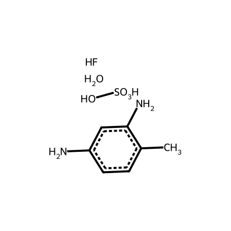 Cc1ccc(N)cc1N.F.O.O=S(=O)(O)O